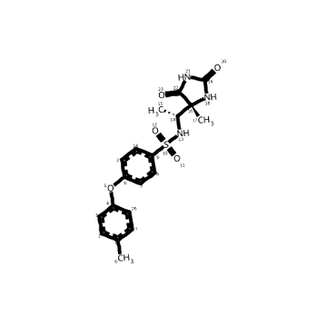 Cc1ccc(Oc2ccc(S(=O)(=O)N[C@H](C)[C@@]3(C)NC(=O)NC3=O)cc2)cc1